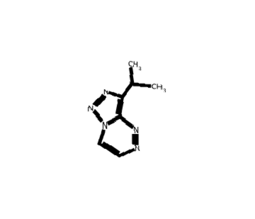 CC(C)c1nnn2ccnnc12